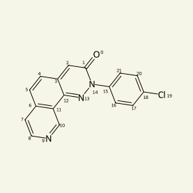 O=c1cc2ccc3ccncc3c2nn1-c1ccc(Cl)cc1